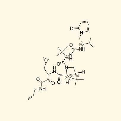 C=CCNC(=O)C(=O)C(CC1CC1)NC(=O)[C@@H]1[C@@H]2[C@H](CN1C(=O)[C@@H](NC(=O)N[C@H](Cn1ccccc1=O)C(C)C)C(C)(C)C)C2(C)C